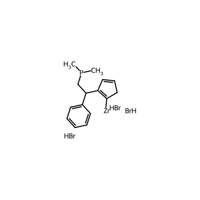 Br.Br.Br.CP(C)CC(C1=[C]([Zr])CC=C1)c1ccccc1